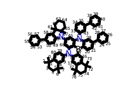 CC1(C)CCC(C)(C)c2cc(N3c4cc5c(cc4B4c6ccc(-c7ccccc7)cc6N(c6cccc(-c7ccccc7)c6)c6cc(N7c8ccc(-c9ccccc9)cc8C8(C)CCCCC78C)cc3c64)C(C)(C)CCC5(C)C)ccc21